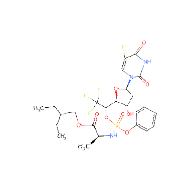 CCC(CC)COC(=O)[C@H](C)N[P@](=O)(Oc1ccccc1)O[C@@H]([C@H]1O[C@@H](n2cc(F)c(=O)[nH]c2=O)C[C@@H]1O)C(F)(F)F